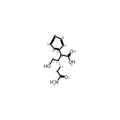 NC(=O)CC[C@H](CO)C(C(=O)O)c1ccccc1